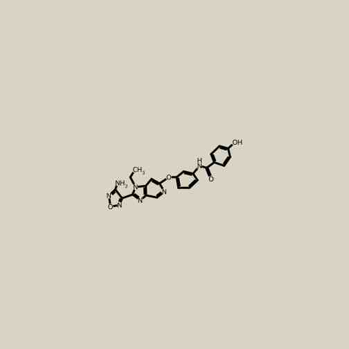 CCn1c(-c2nonc2N)nc2cnc(Oc3cccc(NC(=O)c4ccc(O)cc4)c3)cc21